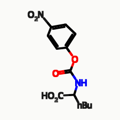 CCCCC(NC(=O)Oc1ccc([N+](=O)[O-])cc1)C(=O)O